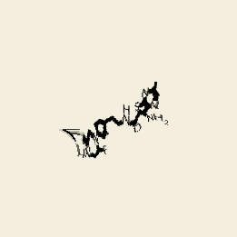 Cc1cnc2c(N)c(C(=O)NCCc3ccc(N4CC(F)NCC4F)cc3)sc2n1